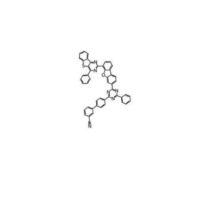 N#Cc1cccc(-c2ccc(-c3nc(-c4ccccc4)nc(-c4ccc5c(c4)oc4c(-c6nc(-c7ccccc7)c7sc8ccccc8c7n6)cccc45)n3)cc2)c1